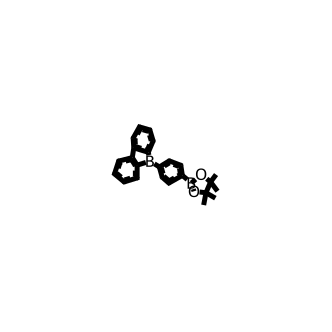 CC1(C)OB(c2ccc(B3c4ccccc4-c4ccccc43)cc2)OC1(C)C